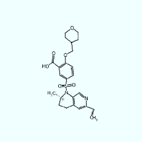 C=Cc1cc2c(cn1)N(S(=O)(=O)c1ccc(OCC3CCOCC3)c(C(=O)O)c1)[C@@H](C)CC2